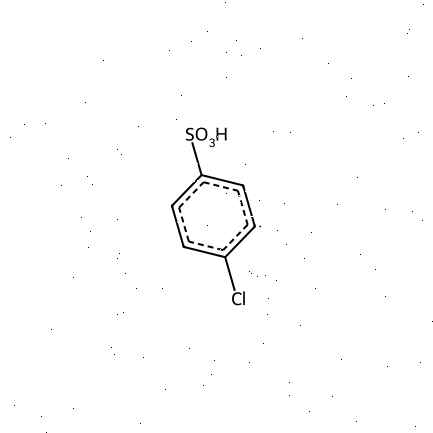 O=S(=O)(O)c1c[c]c(Cl)cc1